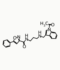 CC(=O)n1cc(CNCCCNC(=O)c2cc(-c3ccccc3)on2)c2ccccc21